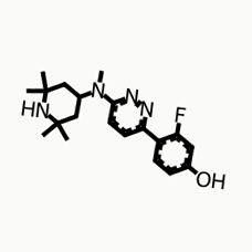 CN(c1ccc(-c2ccc(O)cc2F)nn1)C1CC(C)(C)NC(C)(C)C1